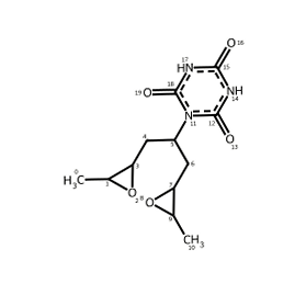 CC1OC1CC(CC1OC1C)n1c(=O)[nH]c(=O)[nH]c1=O